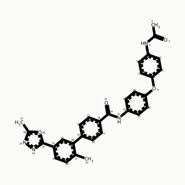 CC(=O)Nc1ccc(Oc2ccc(NC(=O)c3ccc(-c4cc(-c5nnc(C)o5)ccc4C)cc3)cc2)cc1